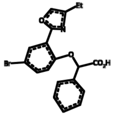 CCc1coc(-c2cc(Br)ccc2OC(C(=O)O)c2ccccc2)n1